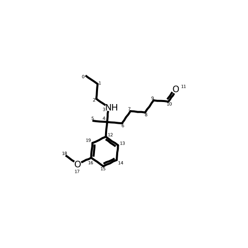 CCCNC(C)(CCCCC=O)c1cccc(OC)c1